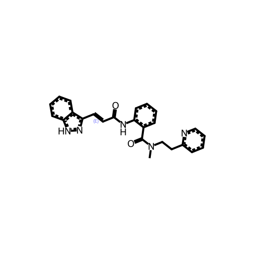 CN(CCc1ccccn1)C(=O)c1ccccc1NC(=O)/C=C/c1n[nH]c2ccccc12